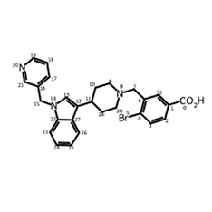 O=C(O)c1ccc(Br)c(CN2CCC(c3cn(Cc4cccnc4)c4ccccc34)CC2)c1